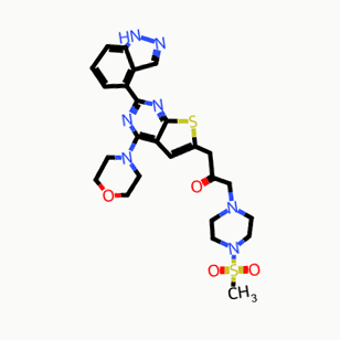 CS(=O)(=O)N1CCN(CC(=O)Cc2cc3c(N4CCOCC4)nc(-c4cccc5[nH]ncc45)nc3s2)CC1